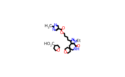 CCn1nc(CCCCOC(=O)c2cnc(C)nc2)c2c1C(=O)NCC1(CCOCC1)C2.O=C(O)C1CCOCC1